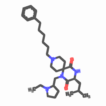 CCN1CCCC1CN1C(=O)[C@H](CC(C)C)NC(=O)C12CCN(CCCCCCc1ccccc1)CC2